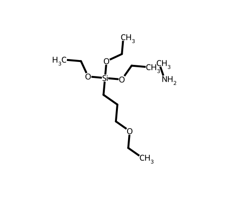 CCOCCC[Si](OCC)(OCC)OCC.CN